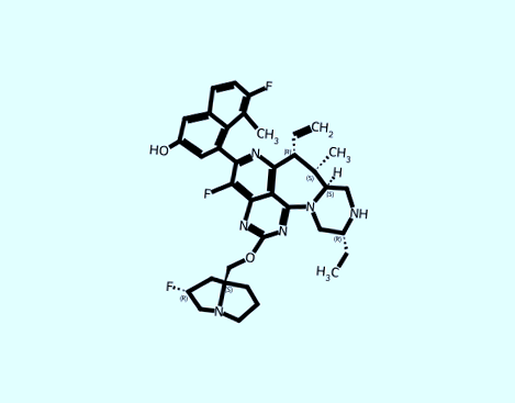 C=C[C@H]1c2nc(-c3cc(O)cc4ccc(F)c(C)c34)c(F)c3nc(OC[C@@]45CCCN4C[C@H](F)C5)nc(c23)N2C[C@@H](CC)NC[C@@H]2[C@H]1C